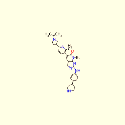 C=C(C)N1CCC(c2ccc(-c3cc4cnc(Nc5ccc(C6CCNCC6)cc5)nc4n(CC)c3=O)c(C)n2)C1